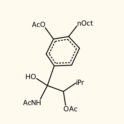 CCCCCCCCc1ccc(C(O)(NC(C)=O)C(OC(C)=O)C(C)C)cc1OC(C)=O